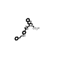 O=C(O)CNCc1nc2ccccc2cc1Cc1nc(-c2ccc(NCCc3ccccc3)cc2)cs1